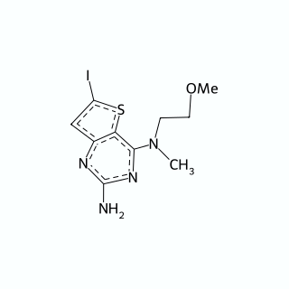 COCCN(C)c1nc(N)nc2cc(I)sc12